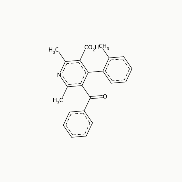 Cc1ccccc1-c1c(C(=O)O)c(C)nc(C)c1C(=O)c1ccccc1